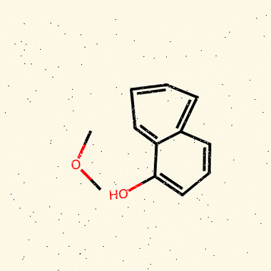 COC.Oc1cccc2ccccc12